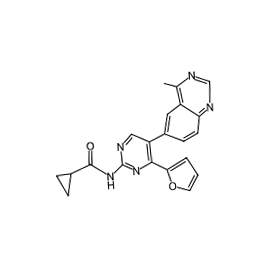 Cc1ncnc2ccc(-c3cnc(NC(=O)C4CC4)nc3-c3ccco3)cc12